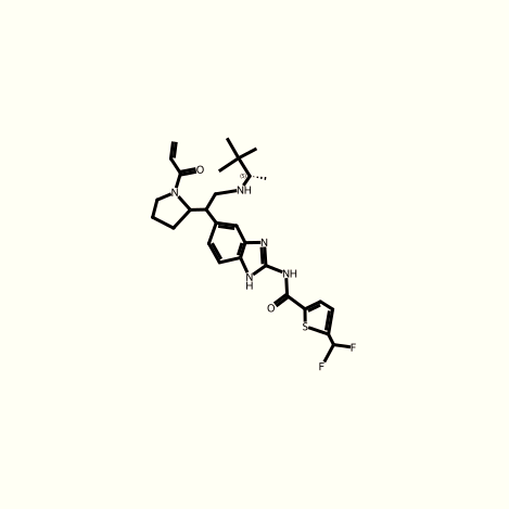 C=CC(=O)N1CCCC1C(CN[C@@H](C)C(C)(C)C)c1ccc2[nH]c(NC(=O)c3ccc(C(F)F)s3)nc2c1